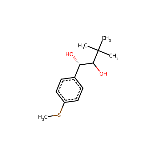 CSc1ccc([C@H](O)C(O)C(C)(C)C)cc1